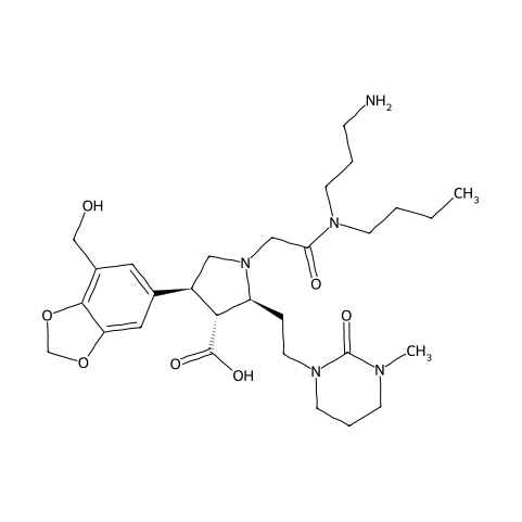 CCCCN(CCCN)C(=O)CN1C[C@H](c2cc(CO)c3c(c2)OCO3)[C@@H](C(=O)O)[C@@H]1CCN1CCCN(C)C1=O